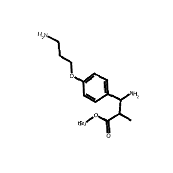 CC(C(=O)OC(C)(C)C)C(N)c1ccc(OCCCN)cc1